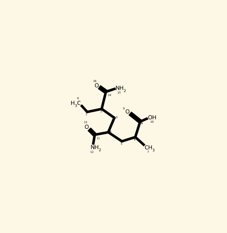 CCC(CC(CC(C)C(=O)O)C(N)=O)C(N)=O